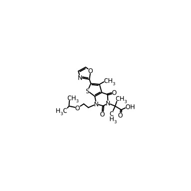 Cc1c(-c2ncco2)sc2c1c(=O)n(C(C)(C)C(=O)O)c(=O)n2CCOC(C)C